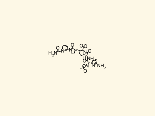 CC(=O)O/N=C(\C(=O)N[C@@H]1C(=O)N2C(C(=O)[O-])=C(/C=C3\CCN(c4ccc[n+](CC(N)=O)c4)C3=O)CC[C@H]12)c1csc(N)n1